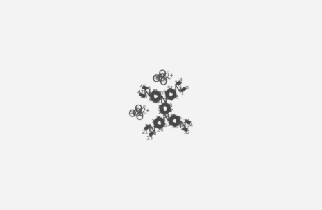 CCN(CC)c1ccc([N+](=C2C=CC(=[N+](c3ccc(N(CC)CC)cc3)c3ccc(N(CC)CC)cc3)C=C2)c2ccc(N(CC)CC)cc2)cc1.[O-][Cl+2]([O-])[O-].[O-][Cl+2]([O-])[O-]